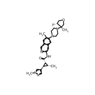 Cc1cc2cnc(NC(=O)[C@@H]3[C@H](C)[C@H]3c3cnn(C)c3)cc2cc1N1CCN([C@@]2(C)COC[C@H]2F)CC1